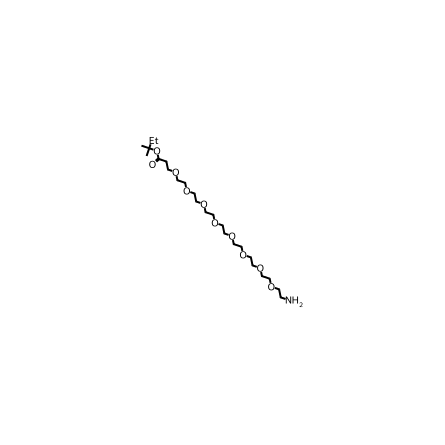 CCC(C)(C)OC(=O)CCOCCOCCOCCOCCOCCOCCOCCOCCN